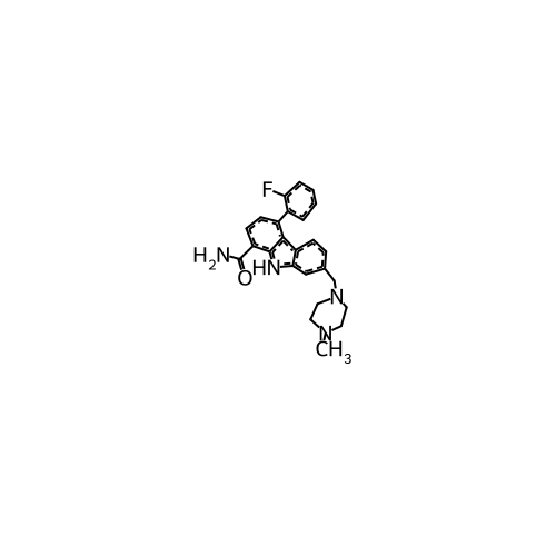 CN1CCN(Cc2ccc3c(c2)[nH]c2c(C(N)=O)ccc(-c4ccccc4F)c23)CC1